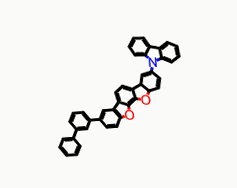 C1=CC2Oc3c(ccc4c3oc3ccc(-c5cccc(-c6ccccc6)c5)cc34)C2C=C1n1c2ccccc2c2ccccc21